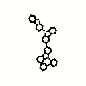 C1=C(c2ccc3c(c2)c2ccccc2n3-c2ccc3c(c2)oc2ccccc23)C=C2c3ccccc3N(c3ccccc3-c3ccccc3)C2C1